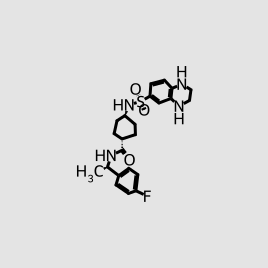 C[C@@H](NC(=O)[C@H]1CC[C@H](NS(=O)(=O)c2ccc3c(c2)NCCN3)CC1)c1ccc(F)cc1